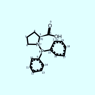 O=C(O)[C@@H]1CCCN1P(c1ccccc1)c1ccccc1